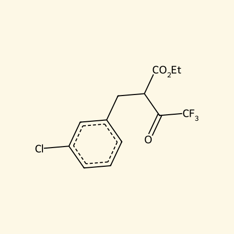 CCOC(=O)C(Cc1cccc(Cl)c1)C(=O)C(F)(F)F